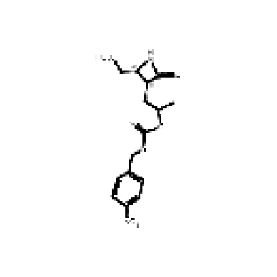 CC(C[C@@H]1C(=O)N[C@@H]1CC(=O)O)OC(=O)OCc1ccc([N+](=O)[O-])cc1